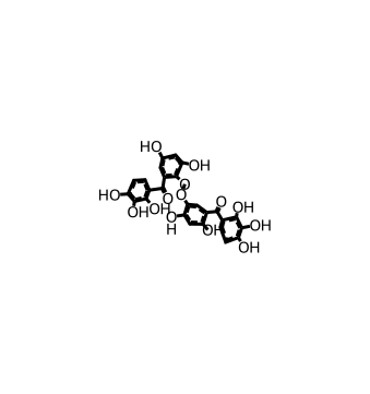 O=C(c1cc(OOc2c(O)cc(O)cc2C(=O)c2ccc(O)c(O)c2O)c(O)cc1O)c1ccc(O)c(O)c1O